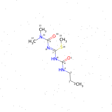 CCCNC(=O)NC(=NC(=O)N(C)C)SC